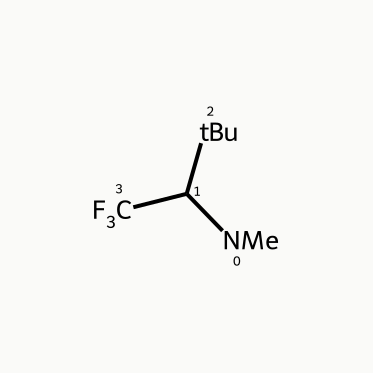 CNC(C(C)(C)C)C(F)(F)F